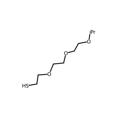 CC(C)OCCOCCOCCS